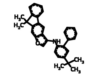 CC(C)(C)c1ccc(Nc2coc3cc4c(cc23)-c2ccccc2C4(C)C)c(-c2ccccc2)c1